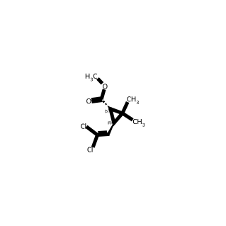 COC(=O)[C@H]1[C@H](C=C(Cl)Cl)C1(C)C